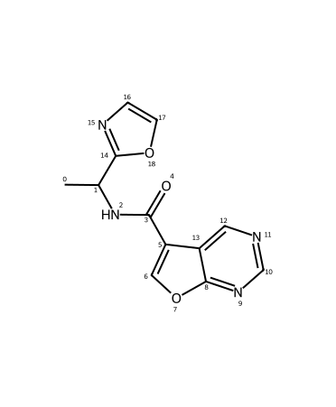 CC(NC(=O)c1coc2ncncc12)c1ncco1